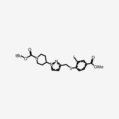 COC(=O)c1ccc(SCc2ccn(C3CCN(C(=O)OC(C)(C)C)CC3)n2)c(I)c1